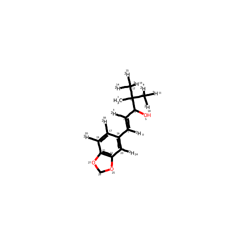 [2H]/C(=C(/[2H])C(O)C(C)(C([2H])([2H])[2H])C([2H])([2H])[2H])c1c([2H])c([2H])c2c(c1[2H])OCO2